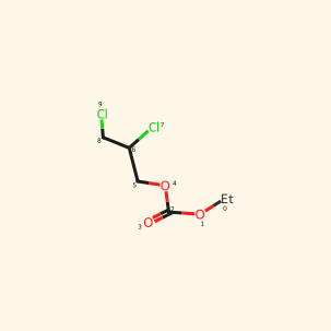 CCOC(=O)OCC(Cl)CCl